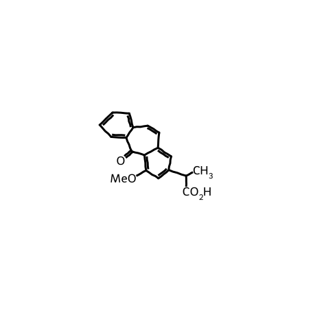 COc1cc(C(C)C(=O)O)cc2ccc3ccccc3c(=O)c12